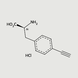 C#Cc1ccc(C[C@H](N)C(=O)O)cc1.Cl